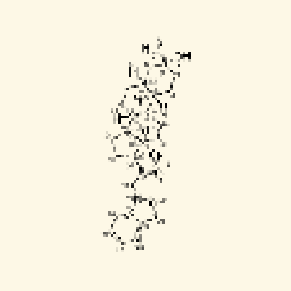 C[C@@]1(O)CC[C@H]2[C@@H](CC[C@@H]3[C@@H]2CC[C@]2(C)[C@@H](C(=O)Cn4ncc5ncccc54)CC[C@@H]32)C1